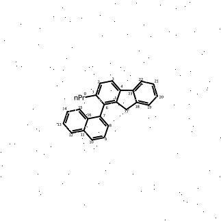 CCCc1ccc2c(c1-c1cccc3ccccc13)[CH]c1ccccc1-2